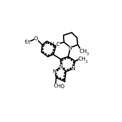 CCOc1ccc(-c2c(N3C(C)CCCC3C)c(C)nc3cc(C=O)nn23)cc1